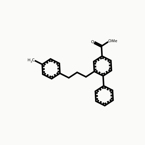 COC(=O)c1ccc(-c2ccccc2)c(CCCc2ccc(C)cc2)c1